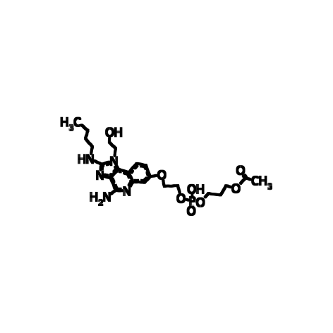 CCCCNc1nc2c(N)nc3cc(OCCOP(=O)(O)OCCCOC(C)=O)ccc3c2n1CCO